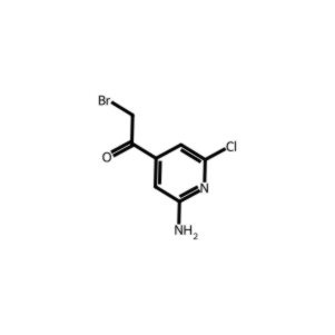 Nc1cc(C(=O)CBr)cc(Cl)n1